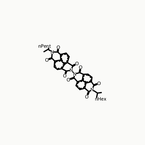 CCCCCCC(C)N1C(=O)c2ccc3c4c(ccc(c24)C1=O)C(=O)N(N1C(=O)c2ccc4c5c(ccc(c25)C1=O)C(=O)N(C(C)CCCCC)C4=O)C3=O